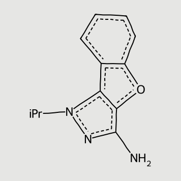 CC(C)n1nc(N)c2oc3ccccc3c21